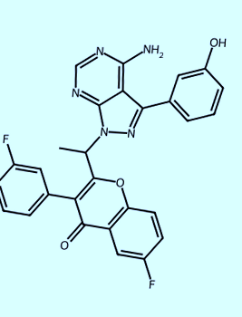 CC(c1oc2ccc(F)cc2c(=O)c1-c1cccc(F)c1)n1nc(-c2cccc(O)c2)c2c(N)ncnc21